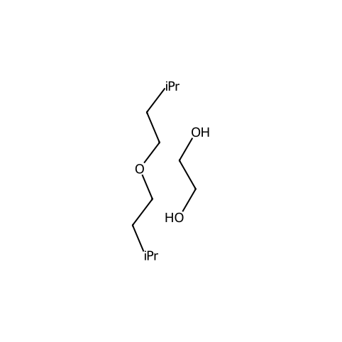 CC(C)CCOCCC(C)C.OCCO